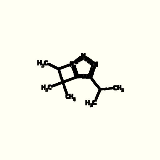 CC(C)c1nnn2c1C(C)(C)C2C